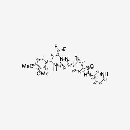 COc1ccc(C2CC(C(F)F)n3nc(-c4ccc(C(=O)N[C@@H]5CCCNC5)cc4F)cc3N2)cc1OC